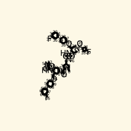 CN1CC(CN(C)S(=O)(=O)NC2CCN(C(=O)[C@H]3C[C@@H](F)C3)CC2CO[C@H]2CC[C@@H](c3cccc(F)c3)CC2)CC1C(=O)N1CCC(NS(=O)(=O)N(C)C)C(CO[C@H]2CC[C@@H](c3cccc(F)c3)CC2)C1